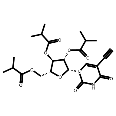 C#Cc1cn([C@@H]2O[C@H](COC(=O)C(C)C)[C@@H](OC(=O)C(C)C)[C@@H]2OC(=O)C(C)C)c(=O)[nH]c1=O